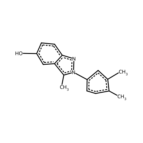 Cc1ccc(-n2nc3ccc(O)cc3c2C)cc1C